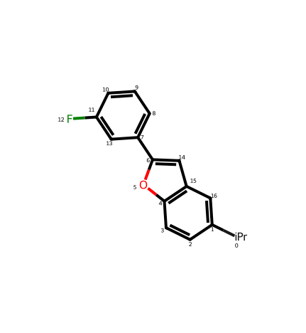 CC(C)c1ccc2oc(-c3cccc(F)c3)cc2c1